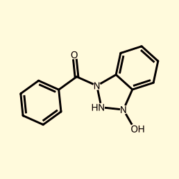 O=C(c1ccccc1)N1NN(O)c2ccccc21